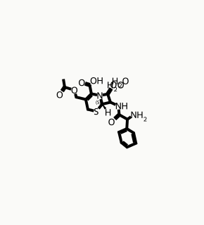 CC(=O)OCC1=C(C(=O)O)N2C(=O)C(NC(=O)C(N)c3ccccc3)[C@@H]2SC1.O.O